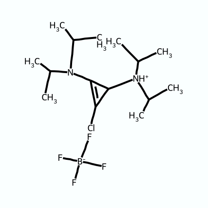 CC(C)N(C1=C(Cl)C1[NH+](C(C)C)C(C)C)C(C)C.F[B-](F)(F)F